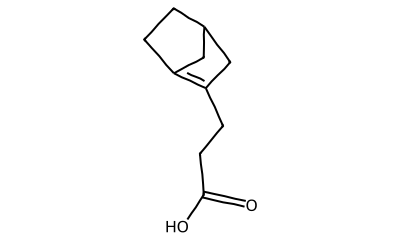 O=C(O)CCC1=C2CCC(C1)C2